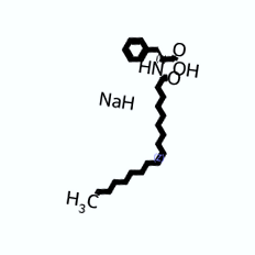 CCCCCCCC/C=C\CCCCCCCC(=O)N[C@@H](Cc1ccccc1)C(=O)O.[NaH]